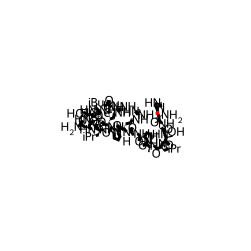 CC[C@H](C)[C@H](NC(=O)[C@H](C)NC(=O)[C@@H](NC(=O)[C@H](CC(N)=O)NC(=O)[C@H](CC(C)C)NC(=O)[C@H](CCCNC(=N)N)NC(=O)[C@@H]1CCCN1C(=O)[C@H](CCCNC(=N)N)NC(=O)CNC(=O)[C@@H]1CCCN1C(=O)[C@H](C)NC(=O)[C@H](CC(C)C)NC(=O)[C@H](CO)NC(=O)CNC(=O)[C@@H](N)Cc1c[nH]cn1)[C@@H](C)O)C(=O)NCC(=O)O